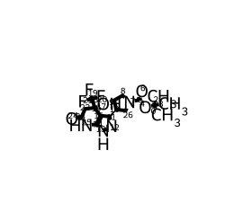 CC(C)(C)OC(=O)N1CC[C@H](c2n[nH]c3c2C(O)(C(F)(F)F)CC(=O)N3)C1